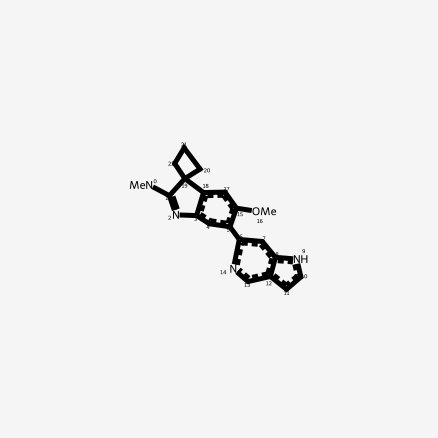 CNC1=Nc2cc(-c3cc4[nH]ccc4cn3)c(OC)cc2C12CCC2